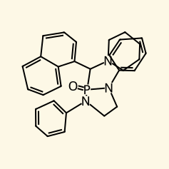 O=P1(C(c2cccc3ccccc23)N2CCCCC2)N(c2ccccc2)CCN1c1ccccc1